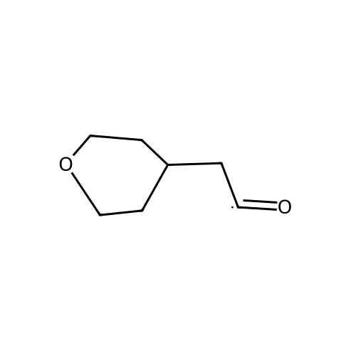 O=[C]CC1CCOCC1